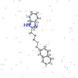 c1ccc2cc(CCCCCc3nc4ccccc4[nH]3)ccc2c1